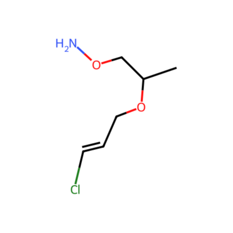 CC(CON)OCC=CCl